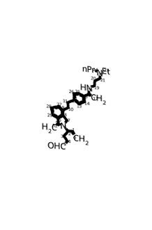 C=CC(CCC=O)N1Cc2c(CCc3ccc(C(=C)NCCCN(CC)CCC)cc3)cccc2C1=C